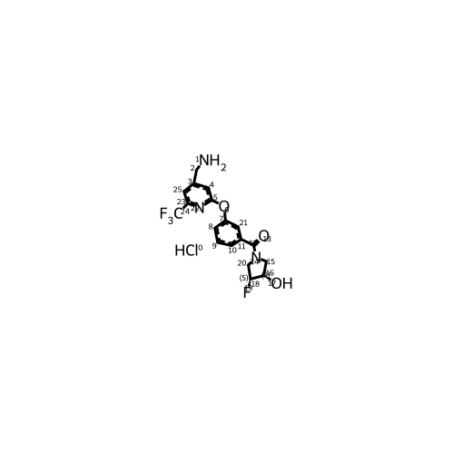 Cl.NCc1cc(Oc2cccc(C(=O)N3C[C@@H](O)[C@@H](F)C3)c2)nc(C(F)(F)F)c1